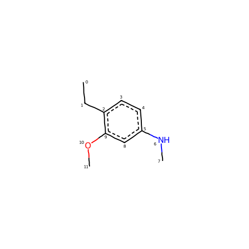 CCc1ccc(NC)cc1OC